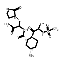 CC(C)C(NS(=O)(=O)C(F)(F)F)C(=O)N1CC[C@H](C(C)(C)C)C[C@@H]1C(=O)NC(C[C@@H]1CCNC1=O)C(N)=O